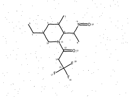 CCC1CC(C)C(C(C)N=O)N(C(=O)CC(F)(F)F)C1